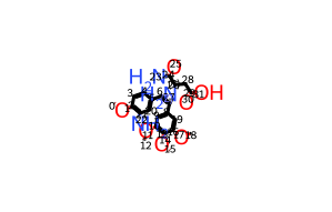 COc1ccc(/C=C\c2cc(OC)c(OC)c(OC)c2)cc1N.NC(=O)[C@@H](N)CC(=O)O